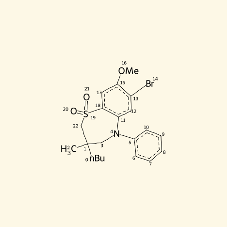 CCCCC1(C)CN(c2ccccc2)c2cc(Br)c(OC)cc2S(=O)(=O)C1